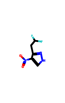 O=[N+]([O-])c1c[nH]nc1CC(F)F